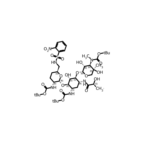 [CH2][C@H](O)C(=O)N[C@@H]1C[C@H](NC(=O)OC(C)(C)C)[C@@H](O[C@H]2O[C@H](CNS(=O)(=O)c3ccccc3[N+](=O)[O-])CC[C@H]2NC(=O)OC(C)(C)C)[C@H](O)[C@H]1O[C@H]1OC[C@](C)(O)[C@H](N(C)C(=O)OC(C)(C)C)[C@H]1O